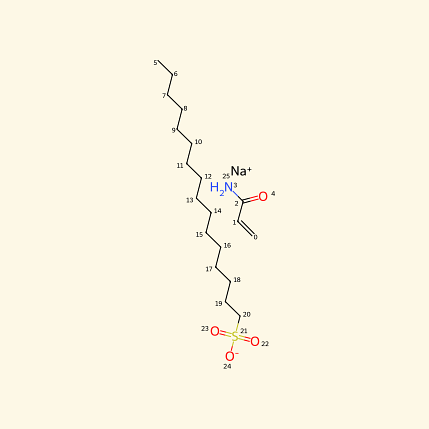 C=CC(N)=O.CCCCCCCCCCCCCCCCS(=O)(=O)[O-].[Na+]